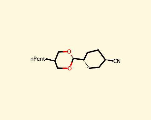 CCCCC[C@H]1CO[C@H]([C@H]2CC[C@H](C#N)CC2)OC1